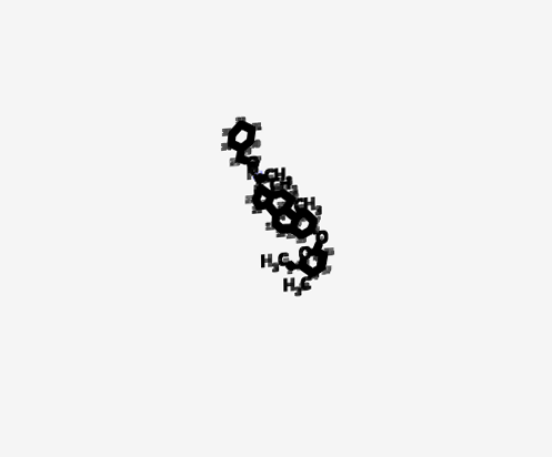 CC[C@H]1OC(O[C@H]2CC[C@@]3(C)C(=CCC4C3CC[C@@]3(C)C4CC[C@@H]3/C(C)=N/OCC3CCCCC3)C2)C=C[C@@H]1C